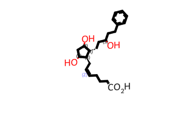 O=C(O)CCC/C=C\C[C@@H]1[C@@H](CC[C@H](O)CCc2ccccc2)[C@H](O)C[C@@H]1O